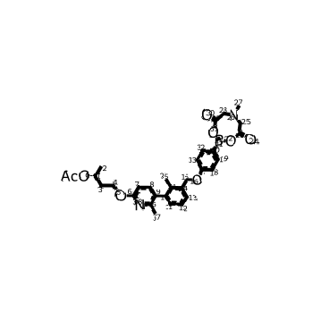 CC(=O)O[C@H](C)CCOc1ccc(-c2cccc(COc3ccc(B4OC(=O)CN(C)CC(=O)O4)cc3)c2C)c(C)n1